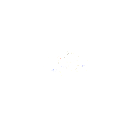 CC(C)C1NC(=S)N(c2ccc(N(C)C)c3ccccc23)C1=O